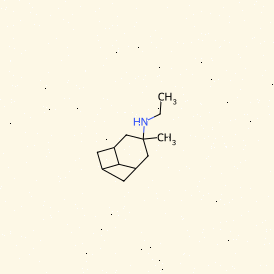 CCNC1(C)CC2CC3CC(C1)C32